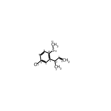 C=C[C](C)c1cc(Cl)ccc1SC